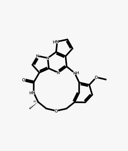 COc1ccc2cc1Nc1nc3c(cnn3c3[nH]ccc13)C(=O)N[C@@H](C)COC2